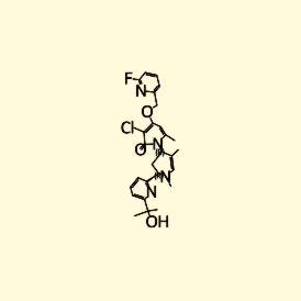 CC1=CN(C)[C@@H](c2cccc(C(C)(C)O)n2)C[C@H]1n1c(C)cc(OCc2cccc(F)n2)c(Cl)c1=O